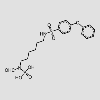 O=CN(CCCCCCNS(=O)(=O)c1ccc(Oc2ccccc2)cc1)P(=O)(O)O